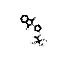 CC(C)(C)C(=O)O[C@H]1C=C[C@@H](N2C(=O)c3ccccc3C2=O)C1